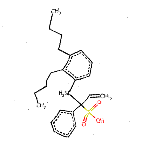 C=CC([SiH2]c1cccc(CCCC)c1CCCC)(c1ccccc1)S(=O)(=O)O